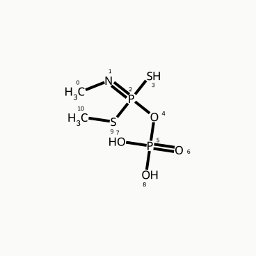 CN=P(S)(OP(=O)(O)O)SC